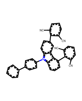 N#Cc1cccc(C#N)c1-c1ccc2c(c1)c1c(-c3c(C#N)cccc3C#N)cccc1n2-c1ccc(-c2ccccc2)cc1